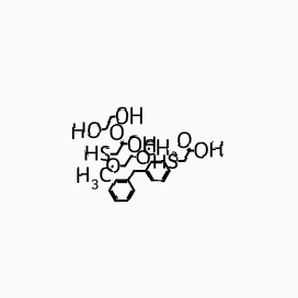 COCCOC.O=C(O)CS.O=C(O)CS.OCCO.c1ccc(Cc2ccccc2)cc1